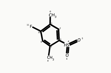 Cc1cc([SH](=O)=O)c(C)cc1F